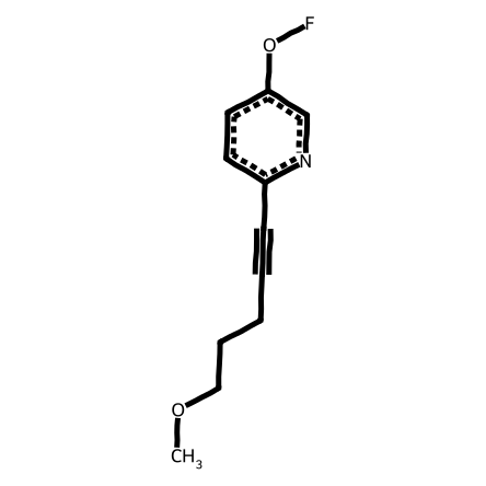 COCCCC#Cc1ccc(OF)cn1